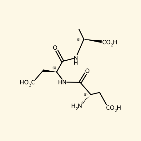 C[C@H](NC(=O)[C@H](CC(=O)O)NC(=O)[C@@H](N)CC(=O)O)C(=O)O